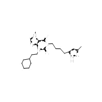 Cc1cc(CCCCn2c(=O)c3c(ncn3C)n(CCC3CCCCC3)c2=O)[nH]n1